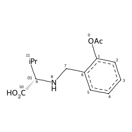 CC(=O)Oc1ccccc1CN[C@H](C(=O)O)C(C)C